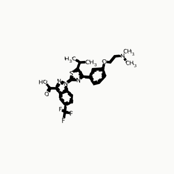 CC(C)c1sc(-n2nc(C(=O)O)c3cc(C(F)(F)F)ccc32)nc1-c1cccc(OCCN(C)C)c1